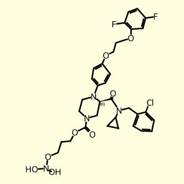 O=C(OCCCON(O)O)N1CCN(c2ccc(OCCOc3cc(F)ccc3F)cc2)[C@@H](C(=O)N(Cc2ccccc2Cl)C2CC2)C1